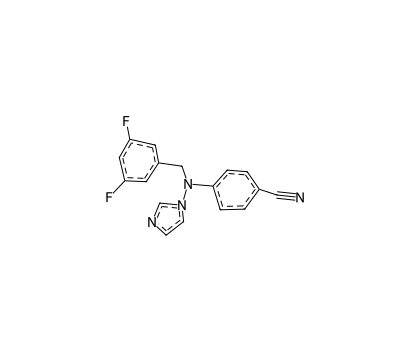 N#Cc1ccc(N(Cc2cc(F)cc(F)c2)n2ccnc2)cc1